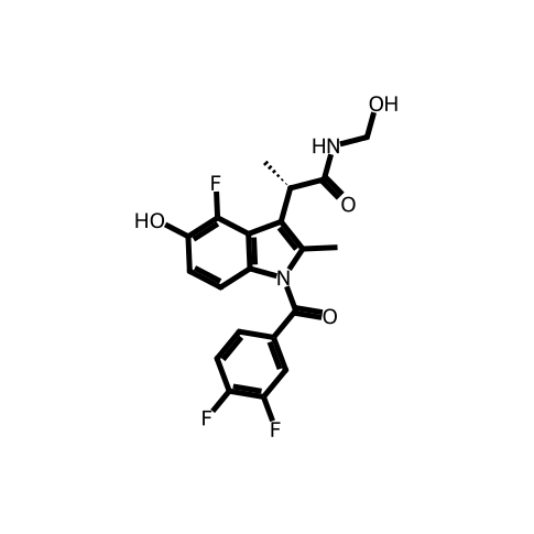 Cc1c([C@H](C)C(=O)NCO)c2c(F)c(O)ccc2n1C(=O)c1ccc(F)c(F)c1